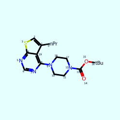 CCCc1csc2ncnc(N3CCN(C(=O)OC(C)(C)C)CC3)c12